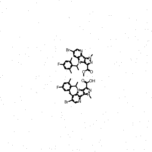 COC(=O)c1nn(C)c2c3ncc(Br)cc3n(C(C)c3c(C)cc(F)cc3C)c12.Cc1cc(F)cc(C)c1C(C)n1c2c(C)c(Br)cnc2c2c1c(C(=O)O)nn2C